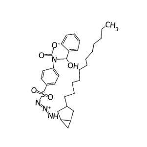 CCCCCCCCCCCCC1CC2CC2C1.N=[N+]=NS(=O)(=O)c1ccc(N(C(=O)[O-])C(O)c2ccccc2)cc1